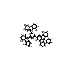 c1ccc(C2(c3ccccc3)c3ccccc3-c3cc(-c4nc(-n5c6ccccc6c6cccnc65)nc(-n5c6ncccc6c6cccnc65)n4)ccc32)cc1